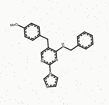 COc1ccc(Cc2cnc(-n3ccnc3)nc2NCc2ccccc2)cc1